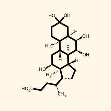 C[C@H](CCC(=O)O)[C@H]1CC[C@H]2[C@@H]3[C@H](O)[C@H](O)[C@@H]4CC(O)(O)CC[C@]4(C)[C@H]3C[C@H](O)[C@]12C